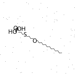 CCCCCCCCCCCCCOCCCCSCCCP(=O)(O)O